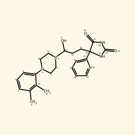 Cc1cccc(N2CCN(C(O)CCC3(c4ccccn4)NC(=O)NC3=O)CC2)c1C